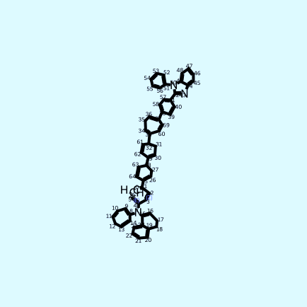 C=C(/C=C\C(=C/C)N(C1=CC=CCC=C1)C1=CCCc2ccccc21)C1=CCC(C2=CCC(C3=CCC=C(c4ccc(-c5nc6ccccc6n5-c5ccccc5)cc4)C=C3)C=C2)C=C1